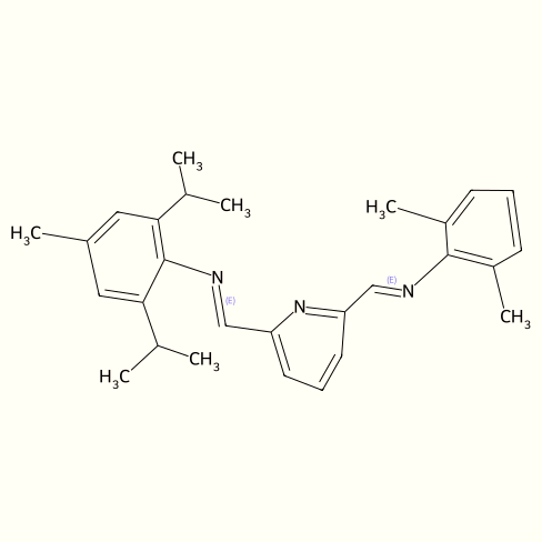 Cc1cc(C(C)C)c(/N=C/c2cccc(/C=N/c3c(C)cccc3C)n2)c(C(C)C)c1